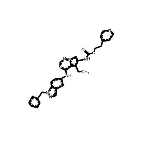 CCc1c(NC(=O)OCCc2ccncc2)cn2ncnc(Nc3ccc4c(cnn4Cc4ccccc4)c3)c12